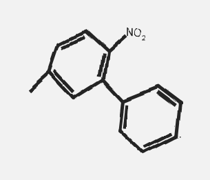 Cc1ccc([N+](=O)[O-])c(-c2cc[c]cc2)c1